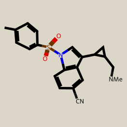 CNCC1CC1c1cn(S(=O)(=O)c2ccc(C)cc2)c2ccc(C#N)cc12